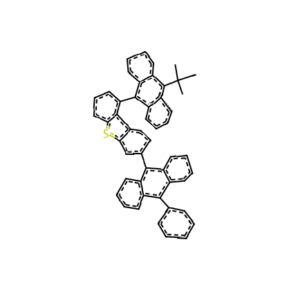 CC(C)(C)c1c2ccccc2c(-c2cccc3sc4cc(-c5c6ccccc6c(-c6ccccc6)c6ccccc56)ccc4c23)c2ccccc12